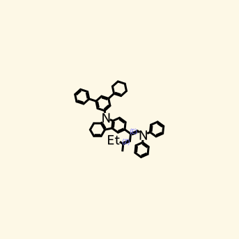 CC/C(C)=C\C(=C/N(c1ccccc1)c1ccccc1)c1ccc2c(c1)c1c(n2-c2cc(C3=CCCCC3)cc(-c3ccccc3)c2)CCC=C1